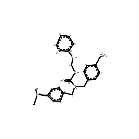 COc1ccc(CN(Cc2ccc(N(C)C)cc2)C(=O)OCOc2ccccn2)cc1